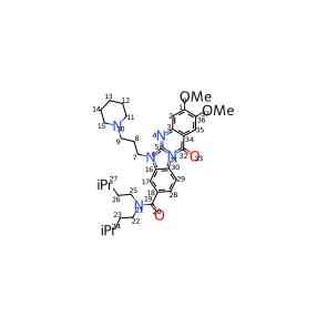 COc1cc2nc3n(CCCN4CCCCC4)c4cc(C(=O)N(CCC(C)C)CCC(C)C)ccc4n3c(=O)c2cc1OC